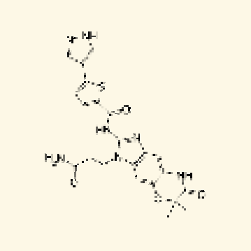 CC1(C)Oc2cc3c(cc2NC1=O)nc(NC(=O)c1ccc(-c2cn[nH]c2)s1)n3CCC(N)=O